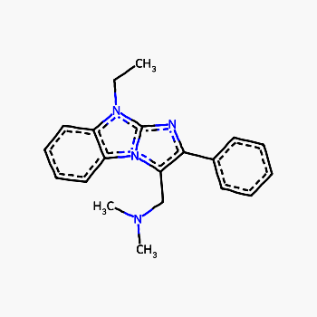 CCn1c2ccccc2n2c(CN(C)C)c(-c3ccccc3)nc12